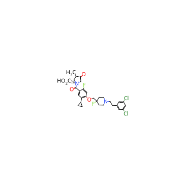 CC1C(=O)CN(C(=O)c2cc(C3CC3)c(OCC3(F)CCN(CCc4cc(Cl)cc(Cl)c4)CC3)cc2F)[C@@H]1C(=O)O